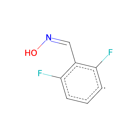 O/N=C\c1c(F)[c]ccc1F